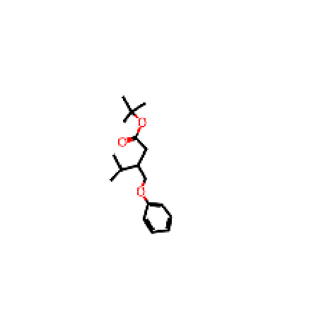 CC(C)C(COc1ccccc1)CC(=O)OC(C)(C)C